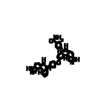 NC(=O)c1ccc([C@@H]2Nc3ccc4[nH]ncc4c3[C@H]3C4CC(CC4Oc4ccc([C@@H]5Nc6ccc7[nH]ncc7c6[C@H]6C7CCC(C7)[C@@H]56)cc4)[C@@H]23)cc1